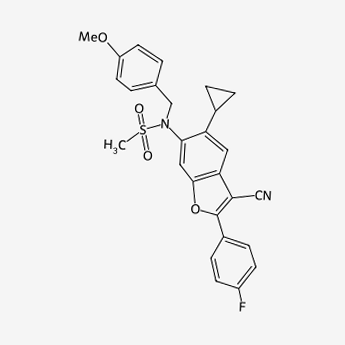 COc1ccc(CN(c2cc3oc(-c4ccc(F)cc4)c(C#N)c3cc2C2CC2)S(C)(=O)=O)cc1